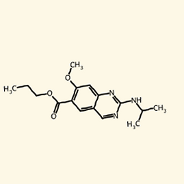 CCCOC(=O)c1cc2cnc(NC(C)C)nc2cc1OC